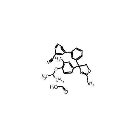 Cc1cc(C2(c3cccc(-c4cccc(C#N)c4)c3)COC(N)=N2)ccc1OC(C)C.O=CO